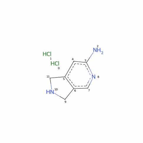 Cl.Cl.Nc1cc2c(cn1)CNC2